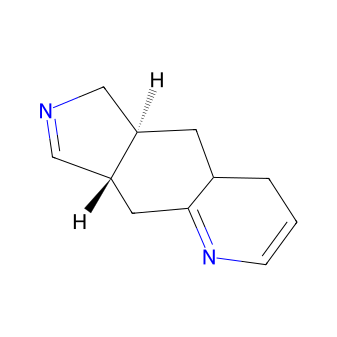 C1=CN=C2C[C@@H]3C=NC[C@H]3CC2C1